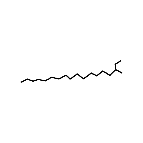 CCCCCCCCCCCCCCC[C](C)CC